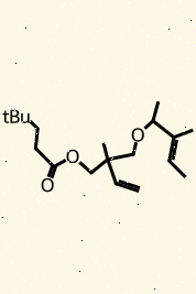 C=CC(C)(COC(=O)CCC(C)(C)C)COC(C)C(C)=CC